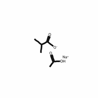 CC(=O)O.CC(C)C(=O)[O-].[Na+]